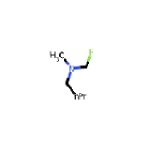 CCCCN(C)CF